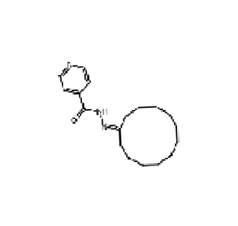 O=C(NN=C1CCCCCCCCCCC1)c1ccncc1